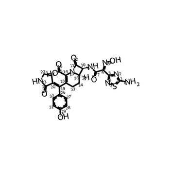 Nc1nc(C(=NO)C(=O)N[C@@H]2C(=O)N3C(C(=O)O)=C(C(=C4CCNC4=O)c4ccc(O)cc4)CC[C@H]23)ns1